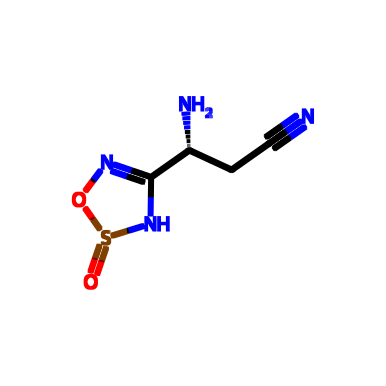 N#CC[C@@H](N)C1=NOS(=O)N1